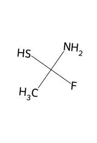 CC(N)(F)S